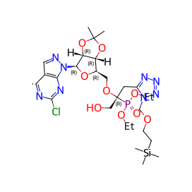 CCOP(=O)(OCC)[C@@](CO)(Cc1nnnn1COCC[Si](C)(C)C)OC[C@H]1O[C@@H](n2ncc3[c]nc(Cl)nc32)[C@@H]2OC(C)(C)O[C@@H]21